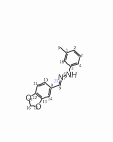 Cc1cccc(N/N=C/c2ccc3c(c2)OCO3)c1